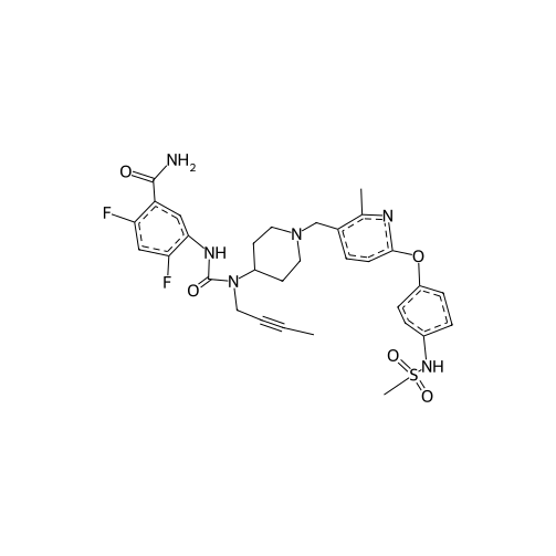 CC#CCN(C(=O)Nc1cc(C(N)=O)c(F)cc1F)C1CCN(Cc2ccc(Oc3ccc(NS(C)(=O)=O)cc3)nc2C)CC1